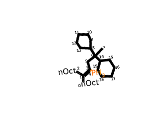 CCCCCCCCC(CCCCCCCC)=C(P)CC(C)(C1CCCCC1)C1CCCCC1